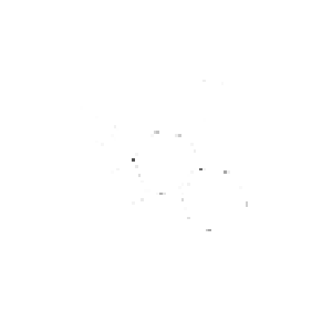 CC1(S(=O)(=O)O)CC(=O)C2=C(OCCO2)C1=O.[Mg]